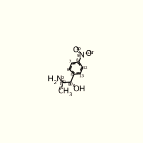 C[C@@H](N)[C@@H](O)c1ccc([N+](=O)[O-])cc1